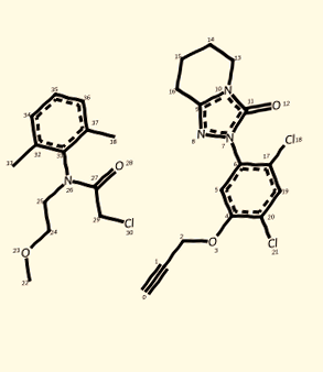 C#CCOc1cc(-n2nc3n(c2=O)CCCC3)c(Cl)cc1Cl.COCCN(C(=O)CCl)c1c(C)cccc1C